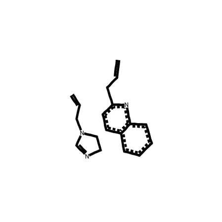 C=CCN1C=NCC1.C=CCc1ccc2ccccc2n1